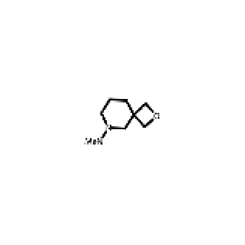 CNN1CCCC2(COC2)C1